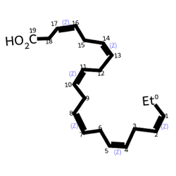 CC/C=C\C/C=C\C/C=C\C/C=C\C/C=C\C/C=C\CC(=O)O